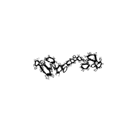 c1ccc(N(c2ccc3oc4cc5cc6c(cc5cc4c3c2)oc2ccc(N(c3ccccc3)c3cccc4c3oc3ccccc34)cc26)c2cccc3c2oc2ccccc23)cc1